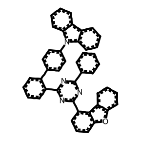 c1ccc(-c2nc(-c3ccccc3-c3ccc(-n4c5ccccc5c5ccccc54)cc3)nc(-c3cccc4oc5ccccc5c34)n2)cc1